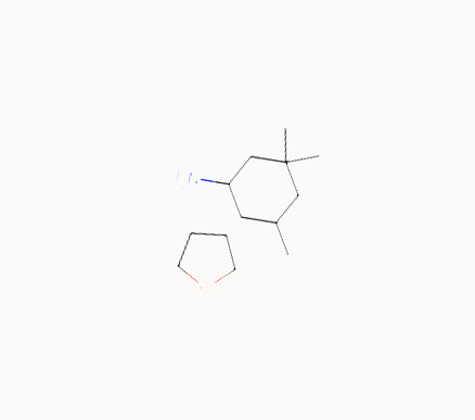 C1CCOC1.CC1CC(N)CC(C)(C)C1